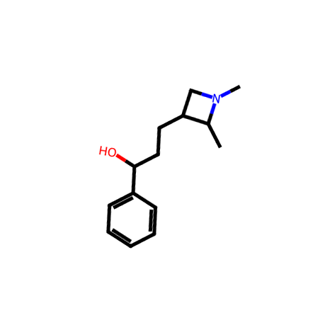 CC1C(CCC(O)c2ccccc2)CN1C